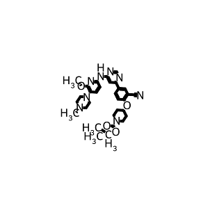 COc1nc(Nc2cc(-c3ccc(OC4CCN(C(=O)OC(C)(C)C)CC4)c(C#N)c3)ncn2)ccc1N1CCN(C)CC1